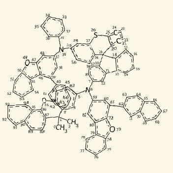 CC1(C)c2cc(N(c3ccc4c(c3)-c3ccccc3C43c4ccccc4Sc4cc(N(c5ccccc5)c5cc(-c6ccccc6)c6c(c5)oc5ccccc56)ccc43)c3cc(-c4ccc5ccccc5c4)c4oc5ccccc5c4c3)ccc2Oc2c1ccc1ccccc21